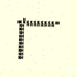 [KH].[KH].[KH].[KH].[KH].[KH].[KH].[KH].[KH].[KH].[KH].[KH].[KH].[KH].[KH].[KH].[KH].[KH].[KH].[KH].[KH]